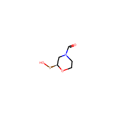 O=[C]N1CCO[C@@H](SO)C1